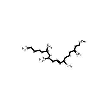 C=C(CCCCCCCCCCCC)CCCC(C)/C=C/CC(C)CC(C)CCCCN